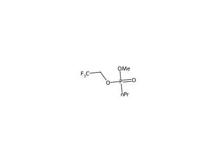 CCCP(=O)(OC)OCC(F)(F)F